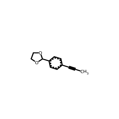 CC#Cc1ccc(C2OCCO2)cc1